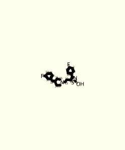 Oc1nc(-c2ccc(F)cc2)c(CCN2CCC(=Cc3cccc(F)c3)CC2)s1